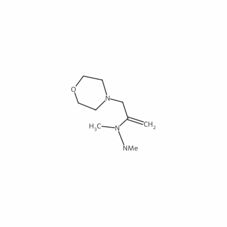 C=C(CN1CCOCC1)N(C)NC